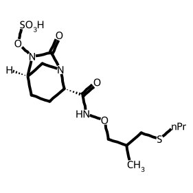 CCCSCC(C)CONC(=O)[C@@H]1CC[C@@H]2CN1C(=O)N2OS(=O)(=O)O